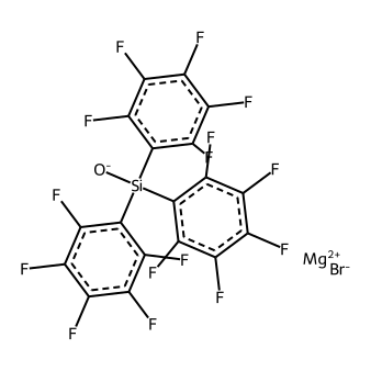 [Br-].[Mg+2].[O-][Si](c1c(F)c(F)c(F)c(F)c1F)(c1c(F)c(F)c(F)c(F)c1F)c1c(F)c(F)c(F)c(F)c1F